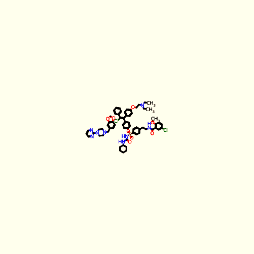 CCN(CC)CCOc1ccc(/C(=C(/Cl)c2ccccc2)c2ccccc2)cc1.COc1ccc(Cl)cc1C(=O)NCCc1ccc(S(=O)(=O)NC(=O)NC2CCCCC2)cc1.c1cnc(N2CCN(Cc3ccc4c(c3)OCO4)CC2)nc1